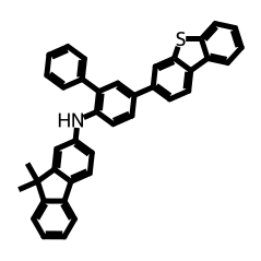 CC1(C)c2ccccc2-c2ccc(Nc3ccc(-c4ccc5c(c4)sc4ccccc45)cc3-c3ccccc3)cc21